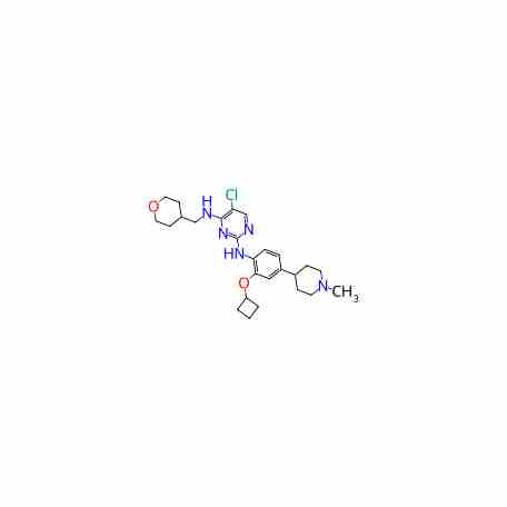 CN1CCC(c2ccc(Nc3ncc(Cl)c(NCC4CCOCC4)n3)c(OC3CCC3)c2)CC1